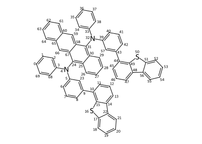 c1ccc(N(c2cccc(-c3cccc4c3sc3ccccc34)c2)c2c3ccccc3c(N(c3ccccc3)c3cccc(-c4cccc5c4sc4ccccc45)c3)c3cc4ccccc4cc23)cc1